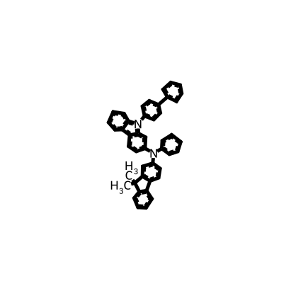 CC1(C)c2ccccc2-c2ccc(N(c3ccccc3)c3ccc4c5ccccc5n(-c5ccc(-c6ccccc6)cc5)c4c3)cc21